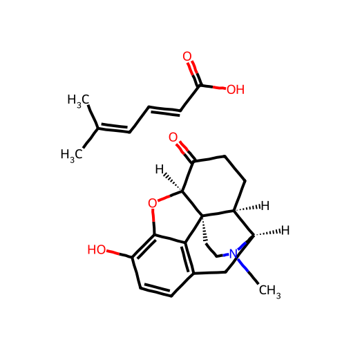 CC(C)=C/C=C/C(=O)O.CN1CC[C@]23c4c5ccc(O)c4O[C@H]2C(=O)CC[C@H]3[C@H]1C5